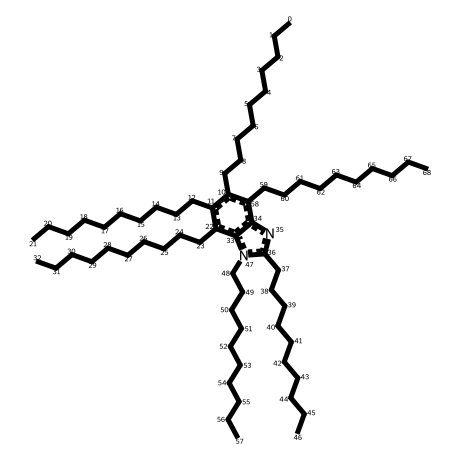 CCCCCCCCCCc1c(CCCCCCCCCC)c(CCCCCCCCCC)c2c(nc(CCCCCCCCCC)n2CCCCCCCCCC)c1CCCCCCCCCC